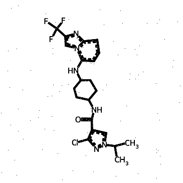 CC(C)n1cc(C(=O)NC2CCC(Nc3cccc4nc(C(F)(F)F)cn34)CC2)c(Cl)n1